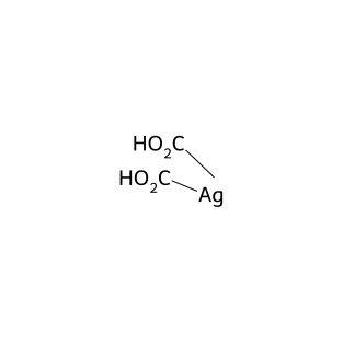 CC(=O)O.O=[C](O)[Ag]